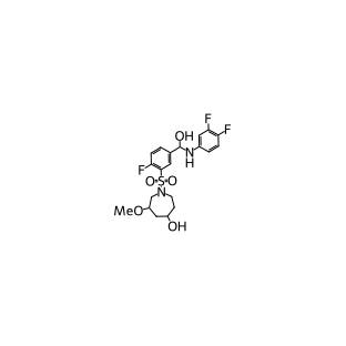 COC1CC(O)CCN(S(=O)(=O)c2cc(C(O)Nc3ccc(F)c(F)c3)ccc2F)C1